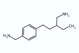 CCC(CN)C[CH]c1ccc(CN)cc1